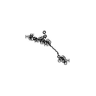 CC(C)(C)C(NC(=O)c1cc2cc(C(F)(F)P(=O)(O)O)ccc2s1)C(=O)N1CCN(C(=O)CC(=O)NCCCCCCCCCC#Cc2ccc3c(c2)C(=O)N(C2CCC(=O)NC2=O)C3=O)C[C@H]1C(=O)N1CCC[C@H](c2ccccc2)C1